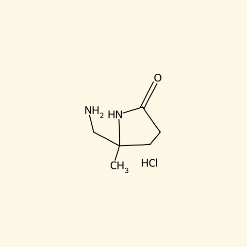 CC1(CN)CCC(=O)N1.Cl